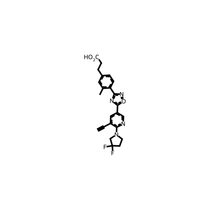 C#Cc1cc(-c2nc(-c3ccc(CCC(=O)O)cc3C)no2)cnc1N1CCC(F)(F)C1